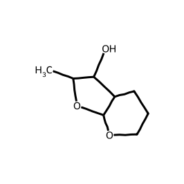 CC1OC2OCCCC2C1O